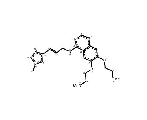 COCCOc1cc2ncnc(NC/C=C/c3cn(C)nn3)c2cc1OCCOC